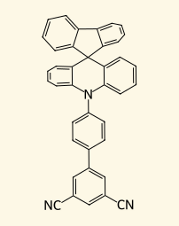 N#Cc1cc(C#N)cc(-c2ccc(N3c4ccccc4C4(c5ccccc5-c5ccccc54)c4ccccc43)cc2)c1